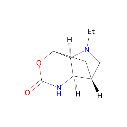 CCN1C[C@H]2CC3OC(=O)N[C@H]2[C@@H]31